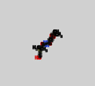 CCC1(CC)COC(c2ccc(C(=O)NCCNC(=O)CCC(C)(C)SSCCCCO)cc2)OC1